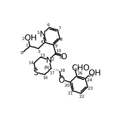 CC(O)Cc1ncccc1C(=O)N1CCSC[C@H]1COc1cccc(O)c1C=O